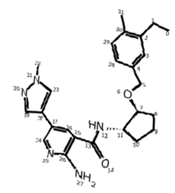 CCc1cc(CO[C@H]2CCC[C@@H]2NC(=O)c2cc(-c3cnn(C)c3)cnc2N)ccc1C